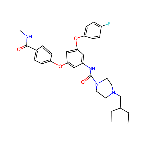 CCC(CC)CN1CCN(C(=O)Nc2cc(Oc3ccc(F)cc3)cc(Oc3ccc(C(=O)NC)cc3)c2)CC1